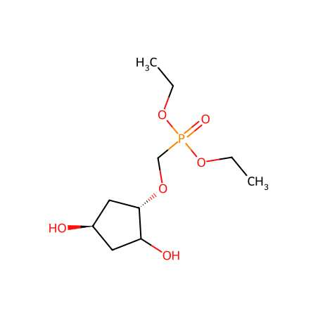 CCOP(=O)(CO[C@H]1C[C@H](O)CC1O)OCC